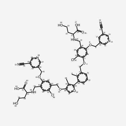 Cc1c(COc2cc(OCc3cncc(C#N)c3)c(CNC(CCO)C(=O)O)cc2Cl)cccc1-c1occ(OCc2cc(OCc3cncc(C#N)c3)c(CNC(CCO)C(=O)O)cc2Cl)c1C